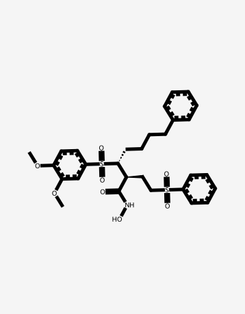 COc1ccc(S(=O)(=O)[C@H](CCCCc2ccccc2)[C@@H](CCS(=O)(=O)c2ccccc2)C(=O)NO)cc1OC